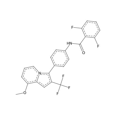 COc1cccn2c(-c3ccc(NC(=O)c4c(F)cccc4F)cc3)c(C(F)(F)F)cc12